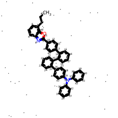 CCCc1cccc2nc(-c3ccc(-c4ccccc4-c4ccccc4-c4ccc(N(c5ccccc5)c5ccccc5)cc4)cc3)oc12